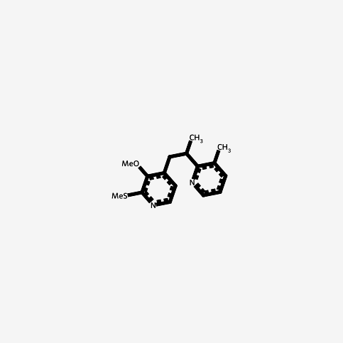 COc1c(CC(C)c2ncccc2C)ccnc1SC